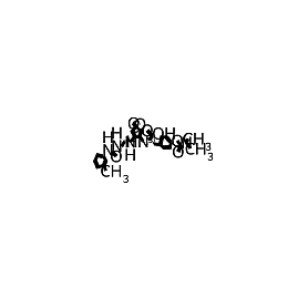 Cc1cccc(NC(=O)NCCNC2=CS(=O)(=O)C=C2N[C@@H](Cc2ccc(OC(=O)N(C)C)cc2)C(=O)O)c1